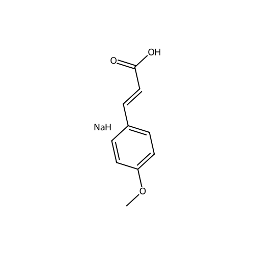 COc1ccc(/C=C/C(=O)O)cc1.[NaH]